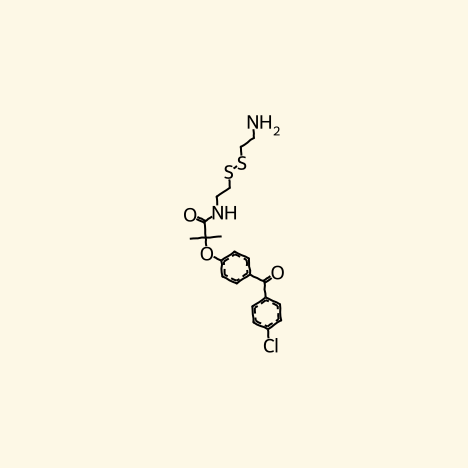 CC(C)(Oc1ccc(C(=O)c2ccc(Cl)cc2)cc1)C(=O)NCCSSCCN